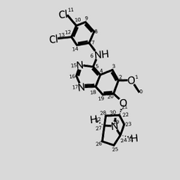 COc1cc2c(Nc3ccc(Cl)c(Cl)c3)ncnc2cc1O[C@@H]1C[C@H]2CC[C@@H](C1)N2C